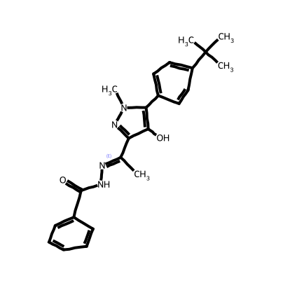 C/C(=N\NC(=O)c1ccccc1)c1nn(C)c(-c2ccc(C(C)(C)C)cc2)c1O